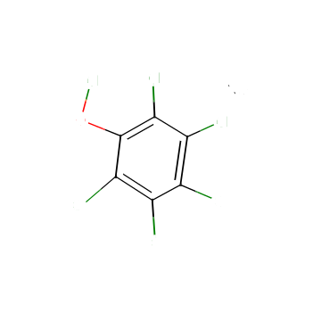 ClOc1c(Cl)c(Cl)c(Cl)c(Cl)c1Cl.[Na]